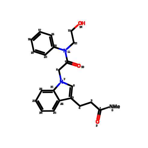 CNC(=O)CCc1cn(CC(=O)N(CCO)c2ccccc2)c2ccccc12